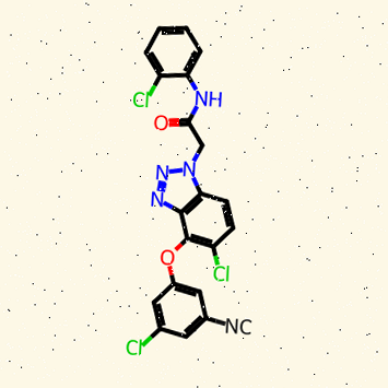 [C-]#[N+]c1cc(Cl)cc(Oc2c(Cl)ccc3c2nnn3CC(=O)Nc2ccccc2Cl)c1